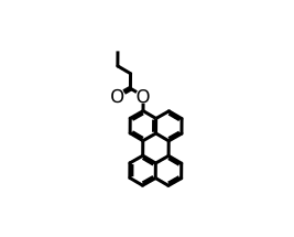 CCCC(=O)Oc1ccc2c3cccc4cccc(c5cccc1c52)c43